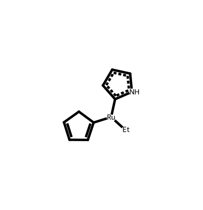 C[CH2][Ru]([C]1=CC=CC1)[c]1ccc[nH]1